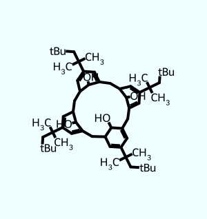 CC(C)(C)CC(C)(C)C1=CC2CC3=CC(C(C)(C)CC(C)(C)C)=CC(CC4C=C(C(C)(C)CC(C)(C)C)C=C(CC5C=C(C(C)(C)CC(C)(C)C)C=C(CC(=C1)C2O)C5O)C4O)C3O